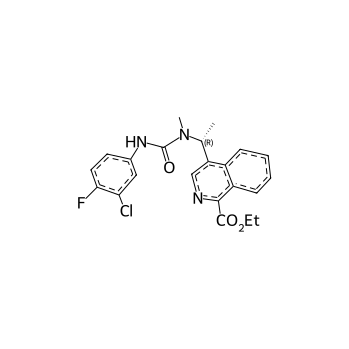 CCOC(=O)c1ncc([C@@H](C)N(C)C(=O)Nc2ccc(F)c(Cl)c2)c2ccccc12